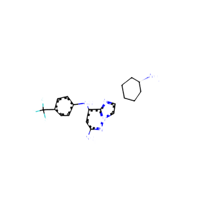 Nc1cc(Nc2ccc(C(F)(F)F)cc2)c2nc([C@H]3CC[C@H](N)CC3)cn2n1